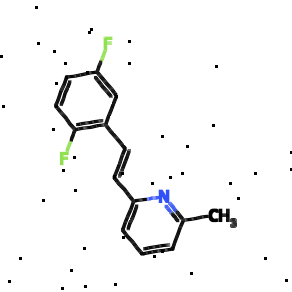 Cc1cccc(C=Cc2cc(F)ccc2F)n1